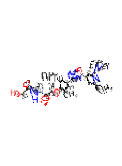 CCCc1cc(-c2noc(-c3cc(C)nc(N(CC)CC)c3)n2)cc(C)c1OC[C@@H](O)CNC(=O)CO